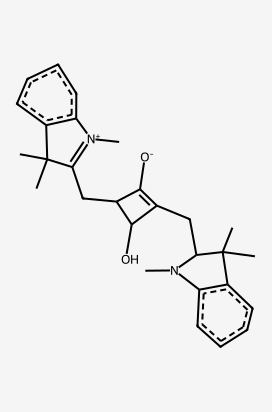 CN1c2ccccc2C(C)(C)C1CC1=C([O-])C(CC2=[N+](C)c3ccccc3C2(C)C)C1O